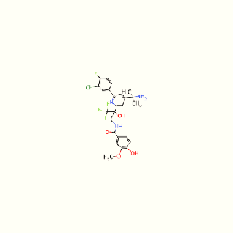 COc1cc(C(=O)NCC(O)(c2cc(C(C)(C)N)cc(-c3ccc(F)c(Cl)c3)n2)C(F)(F)F)ccc1O